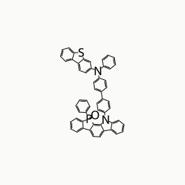 O=P1(c2ccccc2)c2ccccc2-c2ccc3c4ccccc4n(-c4ccc(-c5ccc(N(c6ccccc6)c6ccc7c(c6)sc6ccccc67)cc5)cc4)c3c21